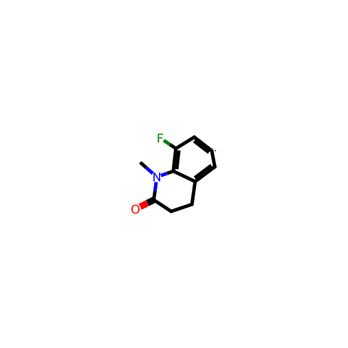 CN1C(=O)CCc2c[c]cc(F)c21